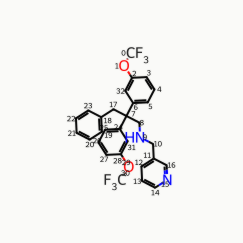 FC(F)(F)Oc1cccc(C(CNCc2cccnc2)(Cc2ccccc2)c2cccc(OC(F)(F)F)c2)c1